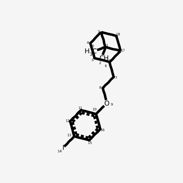 CC1(C)C2CCC(CCOc3ccc(I)cc3)C1C2